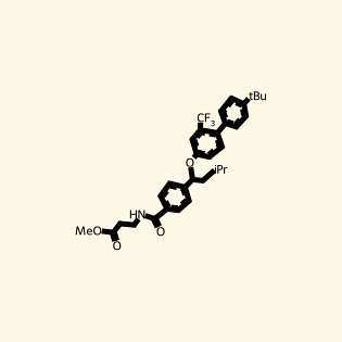 COC(=O)CCNC(=O)c1ccc(C(CC(C)C)Oc2ccc(-c3ccc(C(C)(C)C)cc3)c(C(F)(F)F)c2)cc1